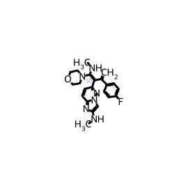 C=C(/C(=C(\NC)N1CCOCC1)c1ccc2nc(NC)cn2n1)c1ccc(F)cc1